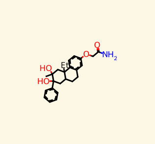 CCC12CC(C)(O)C(O)(c3ccccc3)CC1CCc1cc(OCC(N)=O)ccc12